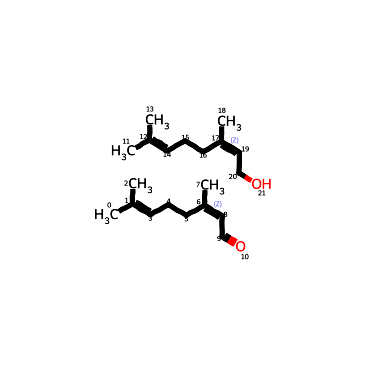 CC(C)=CCC/C(C)=C\C=O.CC(C)=CCC/C(C)=C\CO